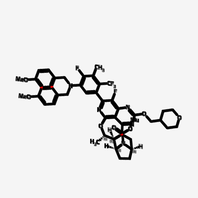 COc1ccc(CN(Cc2ccc(OC)cc2)c2cc(-c3nc4c5c(nc(OCC6CCOCC6)nc5c3F)N3C[C@H]5CC[C@@H]([C@H]3[C@H](C)O4)N5C(=O)OC(C)(C)C)c(C(F)(F)F)c(C)c2F)cc1